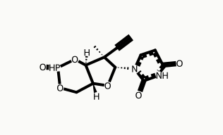 C#C[C@]1(C)[C@@H]2O[PH](=O)OC[C@H]2O[C@H]1n1ccc(=O)[nH]c1=O